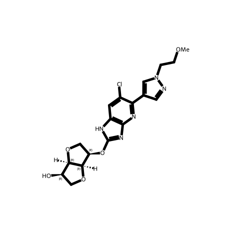 COCCn1cc(-c2nc3nc(O[C@@H]4CO[C@H]5[C@@H]4OC[C@H]5O)[nH]c3cc2Cl)cn1